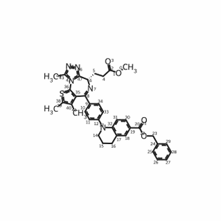 COC(=O)CC[C@@H]1N=C(c2ccc(N3CCCc4cc(C(=O)OCc5ccccc5)ccc43)cc2)c2c(sc(C)c2C)-n2c(C)nnc21